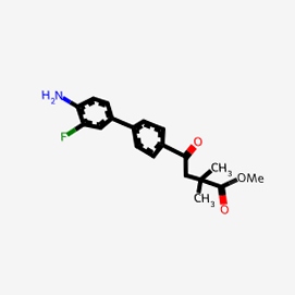 COC(=O)C(C)(C)CC(=O)c1ccc(-c2ccc(N)c(F)c2)cc1